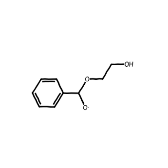 [O]C(OCCO)c1ccccc1